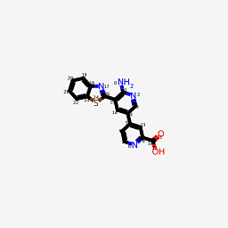 Nc1ncc(-c2ccnc(C(=O)O)c2)cc1-c1nc2ccccc2s1